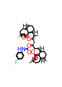 C[C@H]1[C@@H](C[C@H](OC(=O)Nc2ccc(F)cc2)C2O[C@@H]3C[C@]4(C)CC[C@H]5[C@H](C)CC[C@@H]([C@H]2C)[C@@]35OO4)O[C@@H]2C[C@]3(C)CC[C@H]4[C@H](C)CC[C@@H]1[C@@]24OO3